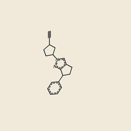 C#CC1CCC(n2cc3c(n2)C(c2ccccc2)CC3)C1